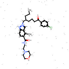 CCCC(CCCC(=O)c1ccc(Cl)cc1)Cn1cc2c(C)c(C(=O)NCCN3CCOCC3)ccc2n1